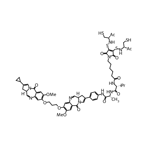 COc1cc2c(cc1OCCCOc1cc3c(cc1OC)C(=O)N1C=C(C4CC4)C[C@@H]1C=N3)N=C[C@H]1CC(c3ccc(NC(=O)[C@@H](C)NC(=O)[C@H](NC(=O)CCCCCN4C(=O)C(SN[C@@H](CS)C(C)=O)=C(SN[C@@H](CS)C(C)=O)C4=O)C(C)C)cc3)=CN1C2=O